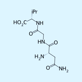 CC(C)[C@H](NC(=O)CNC(=O)[C@@H](N)CC(N)=O)C(=O)O